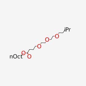 CCCCCCCCOC(=O)CCCOCCOCCOCCC(C)C